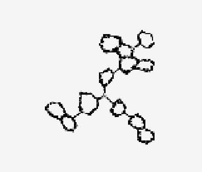 C1=CC(n2c3ccccc3c3c(-c4cccc(N(c5ccc(-c6ccc7ccccc7c6)cc5)C5C=CC(c6cccc7ccccc67)=CCC5)c4)cc4ccccc4c32)=CCC1